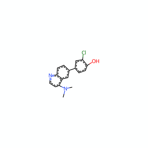 CN(C)c1[c]cnc2ccc(-c3ccc(O)c(Cl)c3)cc12